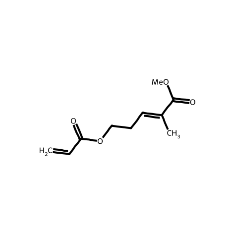 C=CC(=O)OCCC=C(C)C(=O)OC